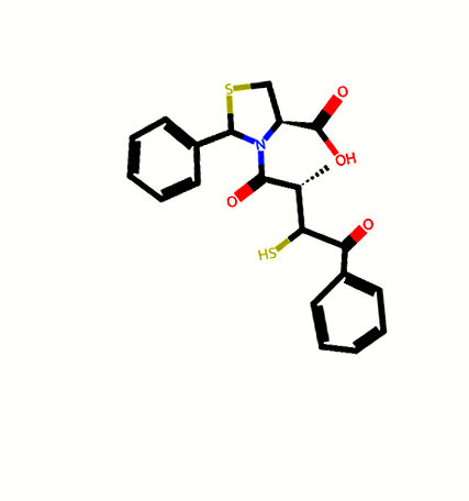 C[C@@H](C(=O)N1C(c2ccccc2)SC[C@H]1C(=O)O)C(S)C(=O)c1ccccc1